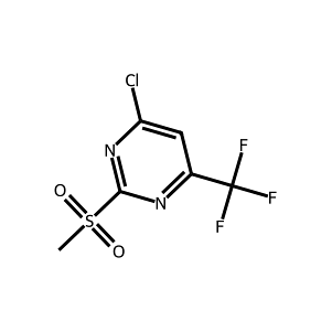 CS(=O)(=O)c1nc(Cl)cc(C(F)(F)F)n1